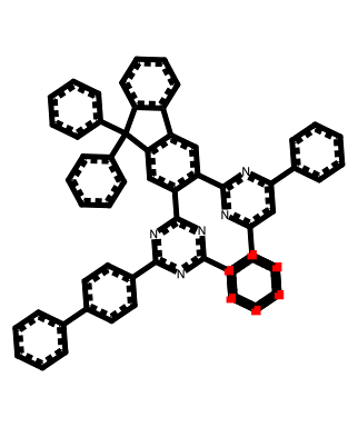 c1ccc(-c2ccc(-c3nc(-c4ccccc4)nc(-c4cc5c(cc4-c4nc(-c6ccccc6)cc(-c6ccccc6)n4)-c4ccccc4C5(c4ccccc4)c4ccccc4)n3)cc2)cc1